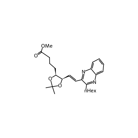 CCCCCCc1nc2ccccc2nc1/C=C/[C@H]1OC(C)(C)O[C@H]1CCCC(=O)OC